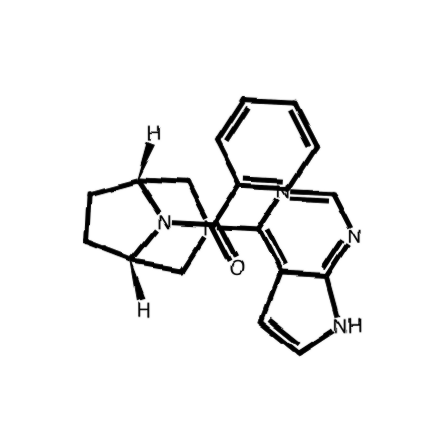 O=C(c1ccccc1)N1[C@@H]2CC[C@H]1CN(c1ncnc3[nH]ccc13)C2